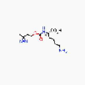 CC1(CCOC(=O)N[C@@H](CCCCN)C(=O)O)N=N1